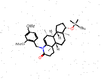 COc1ccc(CN2C(=O)CC[C@@]3(C)C2=C[C@H](C)[C@H]2[C@@H]4CC[C@H](O[Si](C)(C)C(C)(C)C)[C@@]4(C)CC[C@@H]23)c(OC)c1